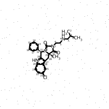 CC(C)CNCCN1C(=O)N2[C@H](c3ccccc3)c3[nH]c4ccc(Cl)cc4c3C[C@@]2(C)C1=O